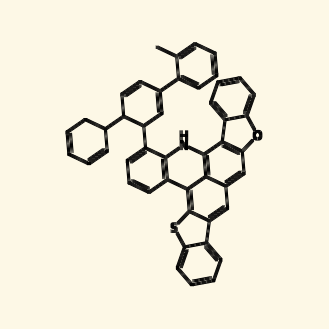 Cc1ccccc1C1=CC(c2cccc3c2Nc2c4c-3c3sc5ccccc5c3cc4cc3oc4ccccc4c23)C(C2C=CC=CC2)C=C1